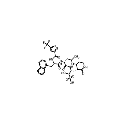 CC(C)C[C@@H](NC(=O)[C@@H](Cc1cccc2ccccc12)NC(=O)c1cc(C(F)(F)F)on1)C(=O)N[C@H](C[C@@H]1CCCNC1=O)C(O)S(=O)(=O)O